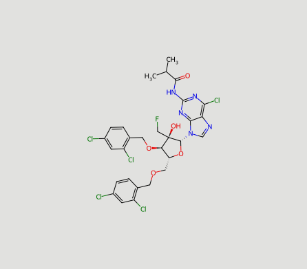 CC(C)C(=O)Nc1nc(Cl)c2ncn([C@@H]3O[C@H](COCc4ccc(Cl)cc4Cl)[C@@H](OCc4ccc(Cl)cc4Cl)[C@]3(O)CF)c2n1